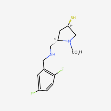 O=C(O)N1C[C@H](S)C[C@H]1CNCc1cc(F)ccc1F